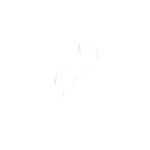 CC(=O)c1c(N(C)C)ccc2c1Nc1ccccc1S2